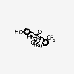 CC(C)(C)OC(=O)N[C@@H](Cc1ccc(O)cc1)C(=O)NCc1ccccc1C(F)(F)F